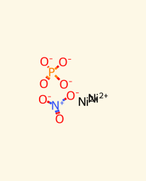 O=P([O-])([O-])[O-].O=[N+]([O-])[O-].[Ni+2].[Ni+2]